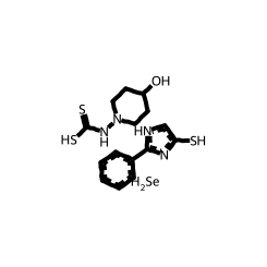 OC1CCN(NC(=S)S)CC1.Sc1c[nH]c(-c2ccccc2)n1.[SeH2]